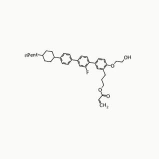 C=CC(=O)OCCCc1cc(-c2ccc(-c3ccc(C4CCC(CCCCC)CC4)cc3)cc2F)ccc1OCCO